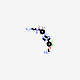 CCc1cc(Nc2nccn3c(-c4ccc(OCC=N)c(F)c4F)cnc23)ccc1C(=O)NCCCN